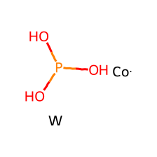 OP(O)O.[Co].[W]